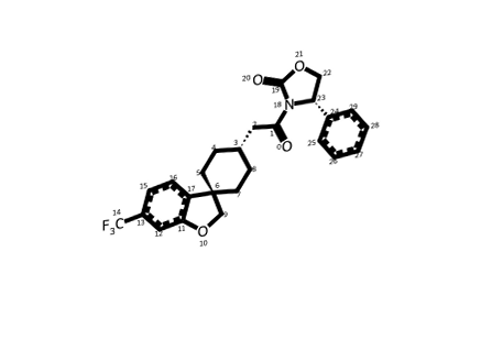 O=C(C[C@H]1CC[C@@]2(CC1)COc1cc(C(F)(F)F)ccc12)N1C(=O)OC[C@@H]1c1ccccc1